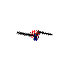 CCCCCCCCCCCCCC(O)OCC[N+](Cl)(CCOC(O)CCCCCCCCCCCCC)C(=O)C[N+](C)(C)C